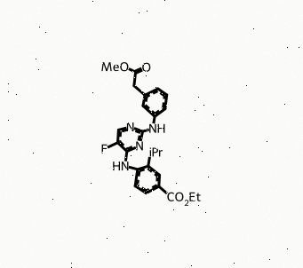 CCOC(=O)c1ccc(Nc2nc(Nc3cccc(CC(=O)OC)c3)ncc2F)c(C(C)C)c1